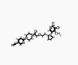 Cc1c(N2CCC[C@H]2CCOCC(=O)N2CCN(c3ccc(C#N)cn3)CC2)cn[nH]c1=O